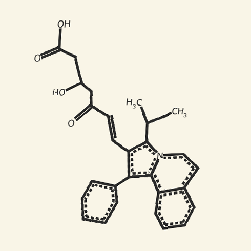 CC(C)c1c(C=CC(=O)CC(O)CC(=O)O)c(-c2ccccc2)c2c3ccccc3ccn12